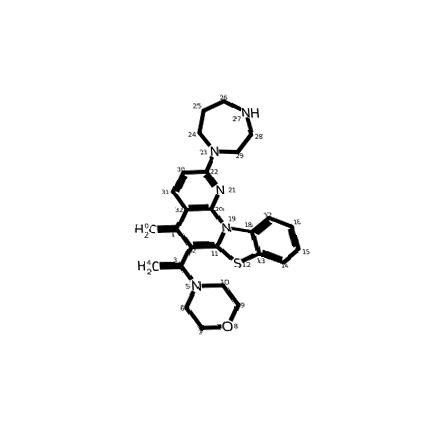 C=C1C(C(=C)N2CCOCC2)=C2Sc3ccccc3N2c2nc(N3CCCNCC3)ccc21